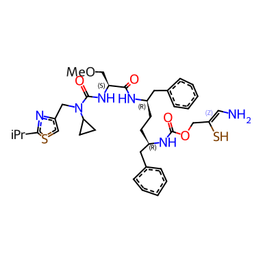 COC[C@H](NC(=O)N(Cc1csc(C(C)C)n1)C1CC1)C(=O)N[C@H](CC[C@H](Cc1ccccc1)NC(=O)OC/C(S)=C/N)Cc1ccccc1